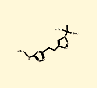 CCCCCCCC(C)(CCCCCC)n1cc(CCc2nnc(NCCCCCC)s2)nn1